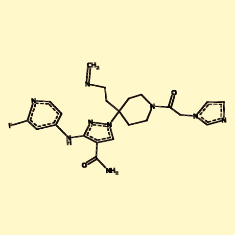 C=NCCC1(n2cc(C(N)=O)c(Nc3ccnc(F)c3)n2)CCN(C(=O)Cn2ccnc2)CC1